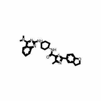 Cc1nc(-c2ccc3c(c2)CCO3)sc1C(=O)N[C@H]1CC[C@@H](Nc2nc(N(C)C)c3ccccc3n2)CC1